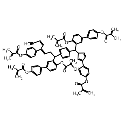 C#C/C=C\C(=C/CC(c1ccc(C(c2cc(-c3ccc(OC(=O)C(=C)C)cc3)ccc2OC(=O)C(=C)C)C2C=CC(c3ccc(OC(=O)C(=C)C)cc3)=C2)cc1)c1cc(-c2ccc(OC(=O)C(=C)C)cc2)ccc1OC(=O)C(=C)C)c1ccc(OC(=O)C(=C)C)cc1